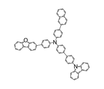 c1ccc2cc(-c3ccc(N(c4ccc(-c5ccc(-n6c7ccccc7c7ccccc76)cc5)cc4)c4ccc(-c5ccc6c(c5)oc5ccccc56)cc4)cc3)ccc2c1